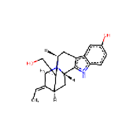 C/C=C1/CN2[C@@H]3Cc4c([nH]c5ccc(O)cc45)[C@@H]2C[C@@H]1[C@H]3CO